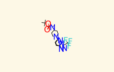 CN(C(=O)OC(C)(C)C)C1CCN(c2ccc3nnc(C(F)(F)F)n3n2)CC1